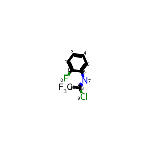 Fc1ccccc1/N=C(/Cl)C(F)(F)F